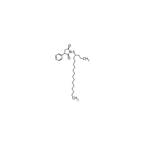 CCCCCCCCCCCCCCC(CCC)SN1C(=O)CC(c2ccccc2)C1=O